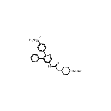 CC(=O)N[C@H]1CC[C@H](CC(=O)Nc2cnc(-c3ccc([C@@H](C)N)cc3)c(-c3ccccc3)c2)CC1